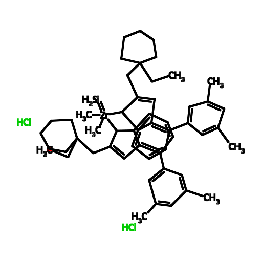 CCC1(CC2=Cc3c(-c4cc(C)cc(C)c4)cccc3[CH]2[Zr]([CH3])([CH3])(=[SiH2])[CH]2C(CC3(CC)CCCCC3)=Cc3c(-c4cc(C)cc(C)c4)cccc32)CCCCC1.Cl.Cl